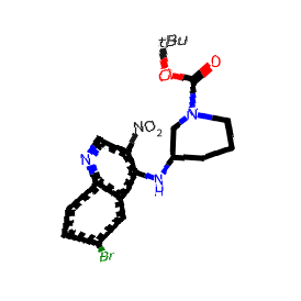 CC(C)(C)OC(=O)N1CCCC(Nc2c([N+](=O)[O-])cnc3ccc(Br)cc23)C1